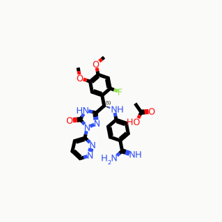 CC(=O)O.COc1cc(F)c([C@H](Nc2ccc(C(=N)N)cc2)c2nn(-c3cccnn3)c(=O)[nH]2)cc1OC